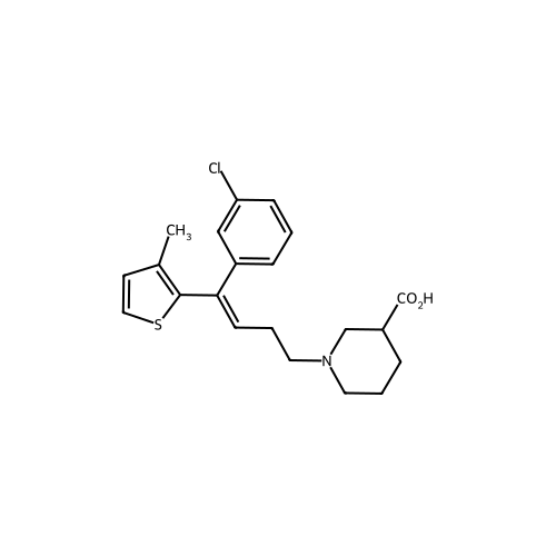 Cc1ccsc1C(=CCCN1CCCC(C(=O)O)C1)c1cccc(Cl)c1